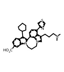 CN(C)CCCc1cn2c3c(ccc(-c4cscn4)c13)-c1c(C3CCCCC3)c3ccc(C(=O)O)cc3n1CCC2